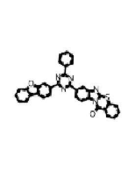 O=c1c2ccccc2sc2nc3cc(-c4nc(-c5ccccc5)nc(-c5ccc6c(c5)oc5ccccc56)n4)ccc3n12